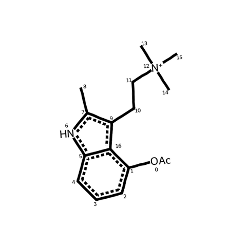 CC(=O)Oc1cccc2[nH]c(C)c(CC[N+](C)(C)C)c12